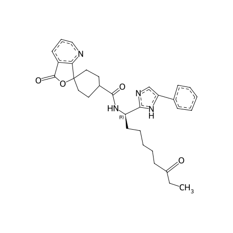 CCC(=O)CCCCC[C@@H](NC(=O)C1CCC2(CC1)OC(=O)c1cccnc12)c1ncc(-c2ccccc2)[nH]1